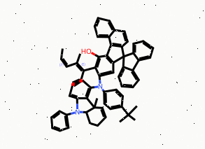 C=C/C(=C(C)\C=C/C)c1c(N(c2ccc(C(C)(C)C)cc2)c2cccc3c2C2(C)C=CCCC2N3c2ccccc2)cc2c(c1O)-c1c(ccc3ccccc13)C21c2ccccc2-c2ccccc21